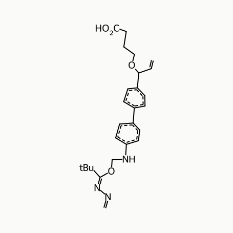 C=CC(OCCCC(=O)O)c1ccc(-c2ccc(NCO/C(=N\N=C)C(C)(C)C)cc2)cc1